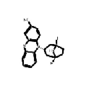 N#Cc1ccc2c(c1)Oc1ccccc1N2[C@H]1C[C@H]2CC[C@@H](C1)N2